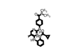 CN(C)C(=O)c1ccc(Nc2ncc(I)c(Nc3ccccc3NC(=O)C3CC3)n2)cc1